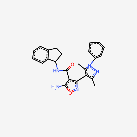 Cc1nn(-c2ccccc2)c(C)c1-c1noc(N)c1C(=O)NC1CCc2ccccc21